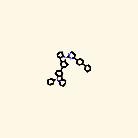 C1=CC(c2ccccc2)CC=C1c1ccnc(-n2c3ccccc3c3cc(-c4ccc5c(c4)c4ccccc4n5-c4ccccc4)ccc32)n1